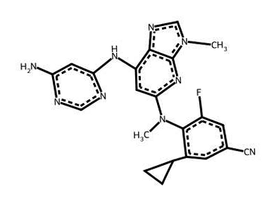 CN(c1cc(Nc2cc(N)ncn2)c2ncn(C)c2n1)c1c(F)cc(C#N)cc1C1CC1